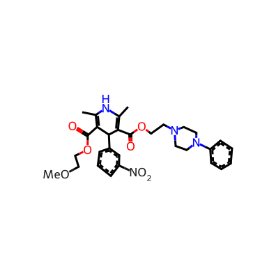 COCCOC(=O)C1=C(C)NC(C)=C(C(=O)OCCN2CCN(c3ccccc3)CC2)C1c1cccc([N+](=O)[O-])c1